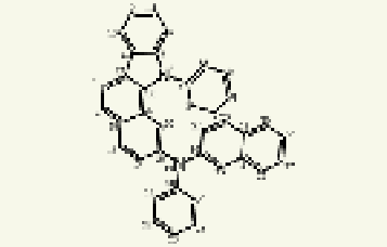 C1=CCCC(n2c3ccccc3c3ccc4ccc(N(c5ccccc5)c5ccc6ccccc6c5)cc4c32)=C1